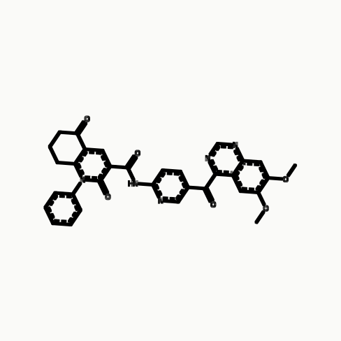 COc1cc2ncnc(C(=O)c3ccc(NC(=O)c4cc5c(n(-c6ccccc6)c4=O)CCCC5=O)nc3)c2cc1OC